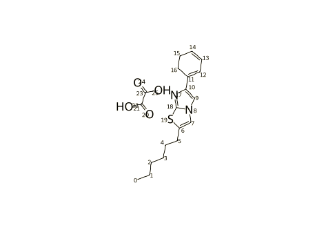 CCCCCCc1cn2cc(C3=CC=CCC3)nc2s1.O=C(O)C(=O)O